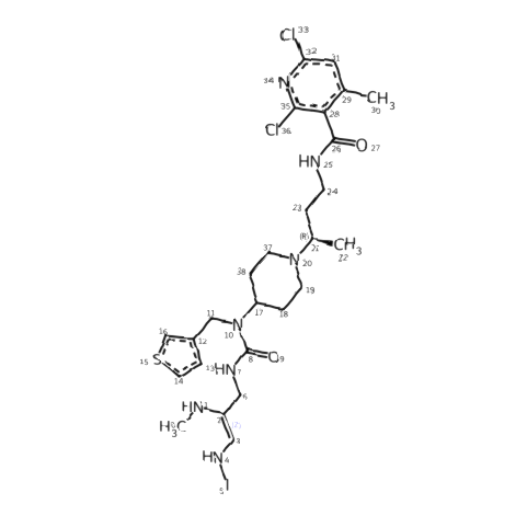 CN/C(=C\NI)CNC(=O)N(Cc1ccsc1)C1CCN([C@H](C)CCNC(=O)c2c(C)cc(Cl)nc2Cl)CC1